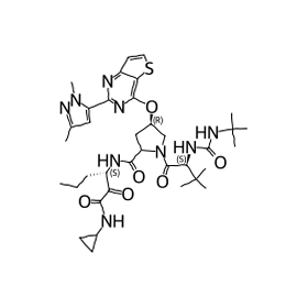 CCC[C@H](NC(=O)C1C[C@@H](Oc2nc(-c3cc(C)nn3C)nc3ccsc23)CN1C(=O)[C@@H](NC(=O)NC(C)(C)C)C(C)(C)C)C(=O)C(=O)NC1CC1